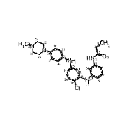 C=CC(=O)Nc1cccc(Nc2nc(Nc3ccc(N4CCN(C)CC4)cc3)ncc2Cl)c1